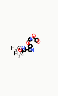 COc1ncc(-c2ccnc3ccc(O[C@H]4CCN(C(=O)C5CCOCC5)C4)cc23)cc1C